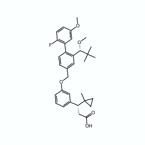 COc1ccc(F)c(-c2ccc(COc3cccc([C@@H](CC(=O)O)C4(C)CC4)c3)cc2[C@H](OC)C(C)(C)C)c1